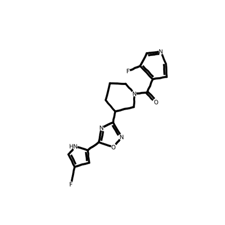 O=C(c1ccncc1F)N1CCCC(c2noc(-c3cc(F)c[nH]3)n2)C1